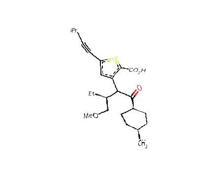 CC[C@H](COC)C(c1cc(C#CC(C)C)sc1C(=O)O)C(=O)[C@H]1CC[C@@H](C)CC1